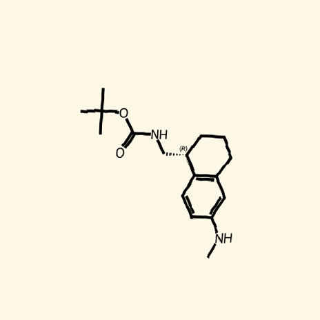 CNc1ccc2c(c1)CCC[C@H]2CNC(=O)OC(C)(C)C